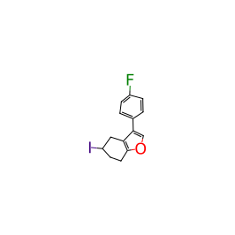 Fc1ccc(-c2coc3c2CC(I)CC3)cc1